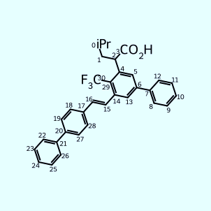 CC(C)CC(C(=O)O)c1cc(-c2ccccc2)cc(C=Cc2ccc(-c3ccccc3)cc2)c1C(F)(F)F